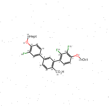 CCCCCCCCOc1ccc(-c2cc(-c3ccc(OCCCCCCC)c(F)c3)ccc2C(=O)O)c(F)c1F